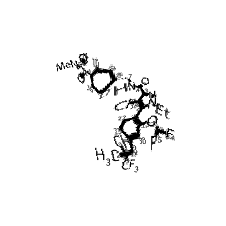 CCn1nc(C(=O)NC[C@H]2CC[C@H](S(=O)(=O)NC)CC2)c(Cl)c1-c1ccc(CC(C)(C)C(F)(F)F)cc1OC(F)F